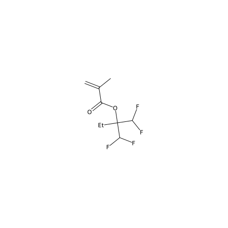 C=C(C)C(=O)OC(CC)(C(F)F)C(F)F